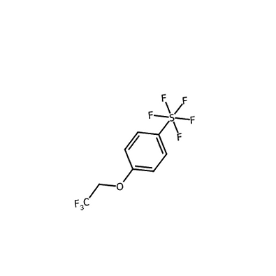 FC(F)(F)COc1ccc(S(F)(F)(F)(F)F)cc1